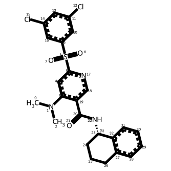 CN(C)c1cc(S(=O)(=O)c2cc(Cl)cc(Cl)c2)ncc1C(=O)N[C@H]1CCCc2ccccc21